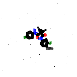 COc1ccc(NC(=O)[C@@]2(C(=O)Nc3ccc(F)cc3)[C@H](C)[C@@H]2C)cc1F